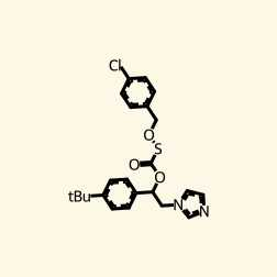 CC(C)(C)c1ccc(C(Cn2ccnc2)OC(=O)SOCc2ccc(Cl)cc2)cc1